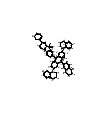 CC1(C)c2cc(C3=CC=CCC3)ccc2-c2ccc(-c3c4ccc(N5CCCc6ccccc65)cc4c(-c4ccc5c(c4)CCC=C5)c4ccc(N5CCCc6ccccc65)cc34)cc21